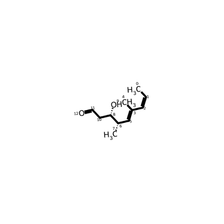 C/C=C\C(C)=C\[C@H](C)[C@@H](O)CC=O